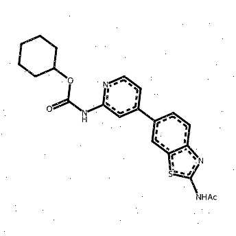 CC(=O)Nc1nc2ccc(-c3ccnc(NC(=O)OC4CCCCC4)c3)cc2s1